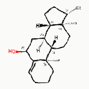 CC[C@H]1CC[C@H]2[C@@H]3C[C@H](O)C4=CCCC[C@]4(C)[C@H]3CC[C@]12C